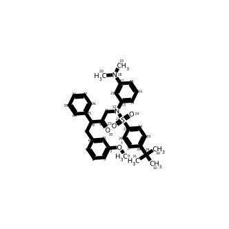 COc1cccc(CC(C(=O)CN(c2cccc(N(C)C)c2)S(=O)(=O)c2ccc(C(C)(C)C)cc2)c2ccccc2)c1